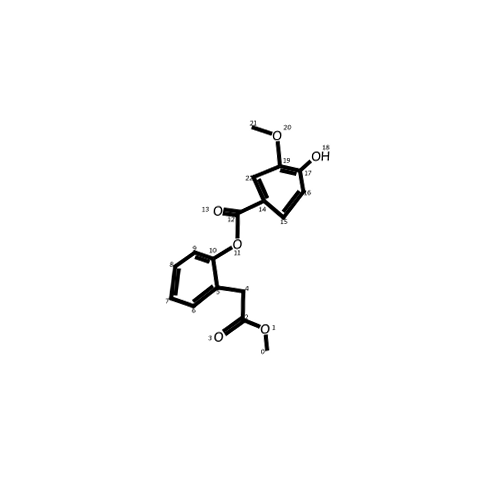 COC(=O)Cc1ccccc1OC(=O)c1ccc(O)c(OC)c1